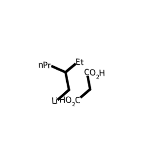 O=C(O)CC(=O)O.[Li][CH2]C(CC)CCC